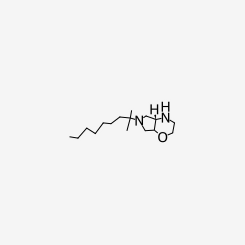 CCCCCCCC(C)(C)N1CC2OCCN[C@H]2C1